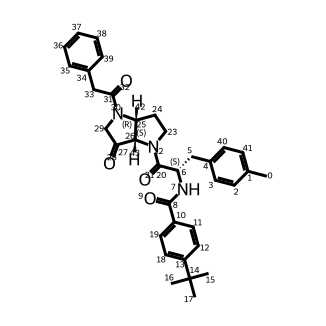 Cc1ccc(C[C@H](NC(=O)c2ccc(C(C)(C)C)cc2)C(=O)N2CC[C@@H]3[C@H]2C(=O)CN3C(=O)Cc2ccccc2)cc1